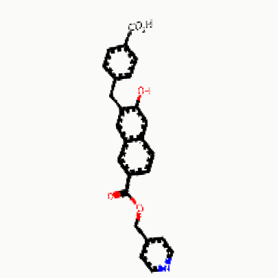 O=C(O)c1ccc(Cc2cc3cc(C(=O)OCc4ccncc4)ccc3cc2O)cc1